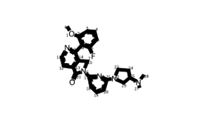 COc1cccc(F)c1-c1nccc2c1CN(c1cccc(N3CCC(N(C)C)C3)n1)C2=O